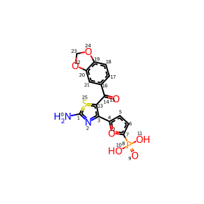 Nc1nc(-c2ccc(P(=O)(O)O)o2)c(C(=O)c2ccc3c(c2)OCO3)s1